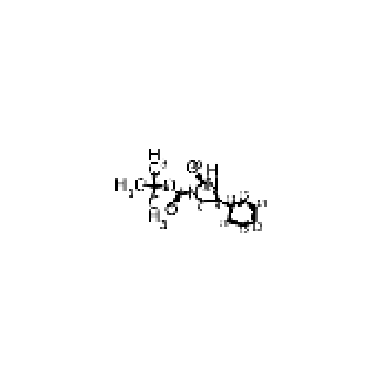 CC(C)(C)OC(=O)N1CC(c2ccccc2)NC1=O